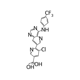 OC[C@@H](O)c1cnc(-c2cnc3c(Nc4ccc(C(F)(F)F)cc4)ncnc3c2)c(Cl)c1